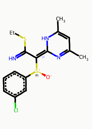 CCSC(=N)/C(=C1/N=C(C)C=C(C)N1)[S@@+]([O-])c1cccc(Cl)c1